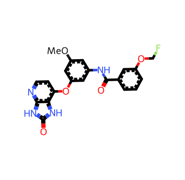 COc1cc(NC(=O)c2cccc(OCF)c2)cc(Oc2ccnc3[nH]c(=O)[nH]c23)c1